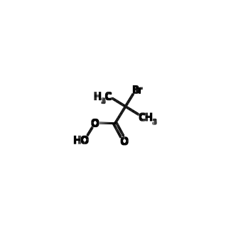 CC(C)(Br)C(=O)OO